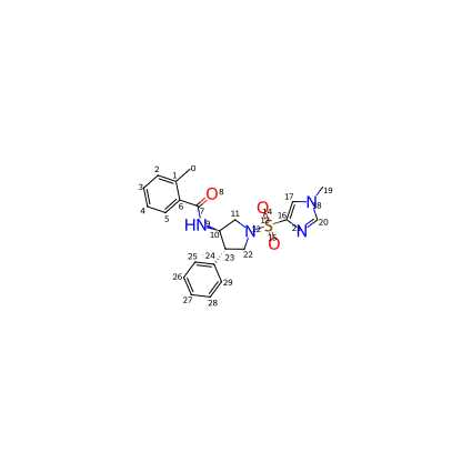 Cc1ccccc1C(=O)N[C@H]1CN(S(=O)(=O)c2cn(C)cn2)C[C@@H]1c1ccccc1